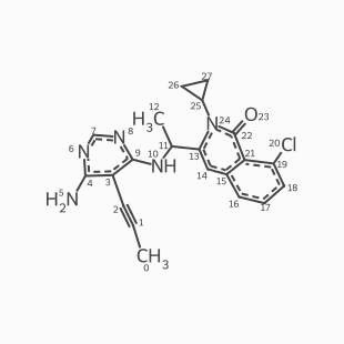 CC#Cc1c(N)ncnc1NC(C)c1cc2cccc(Cl)c2c(=O)n1C1CC1